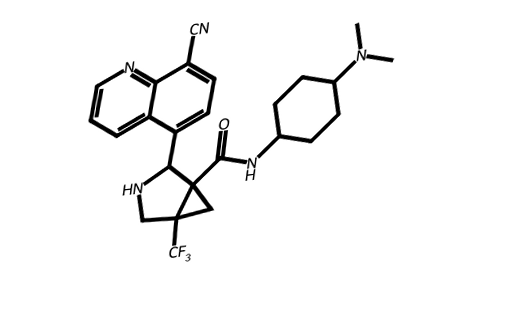 CN(C)C1CCC(NC(=O)C23CC2(C(F)(F)F)CNC3c2ccc(C#N)c3ncccc23)CC1